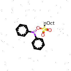 CCCCCCCCS(=O)(=O)O[I+](c1ccccc1)c1ccccc1